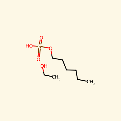 CCCCCCOS(=O)(=O)O.CCO